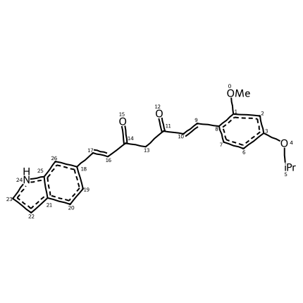 COc1cc(OC(C)C)ccc1C=CC(=O)CC(=O)C=Cc1ccc2cc[nH]c2c1